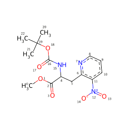 COC(=O)C(Cc1ncccc1[N+](=O)[O-])NC(=O)OC(C)(C)C